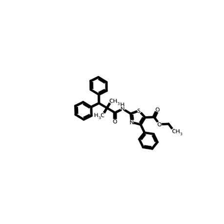 CCOC(=O)c1sc(NC(=O)C(C)(C)C(c2ccccc2)c2ccccc2)nc1-c1ccccc1